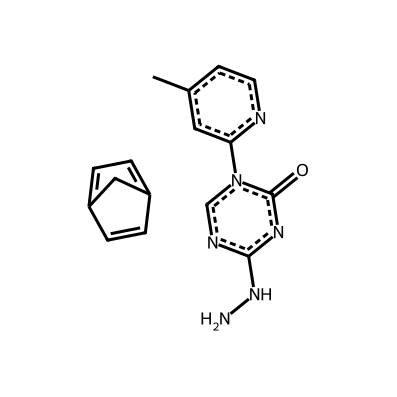 C1=CC2=CC=C1C2.Cc1ccnc(-n2cnc(NN)nc2=O)c1